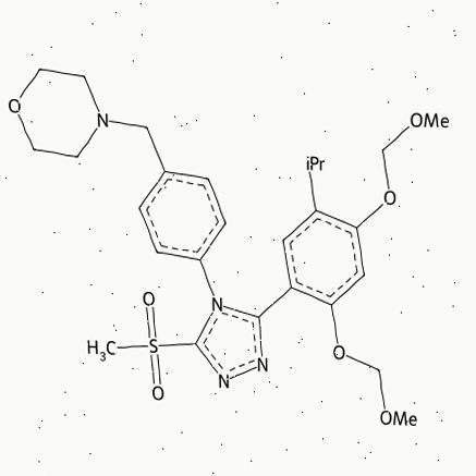 COCOc1cc(OCOC)c(C(C)C)cc1-c1nnc(S(C)(=O)=O)n1-c1ccc(CN2CCOCC2)cc1